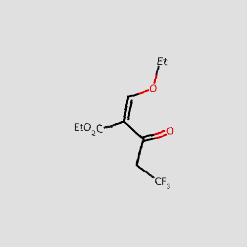 CCOC=C(C(=O)CC(F)(F)F)C(=O)OCC